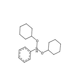 c1ccc([SiH](OC2CCCCC2)OC2CCCCC2)cc1